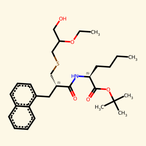 CCCC[C@H](NC(=O)[C@@H](CSCC(CO)OCC)Cc1cccc2ccccc12)C(=O)OC(C)(C)C